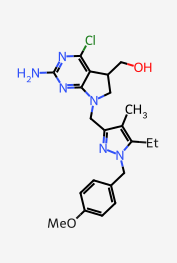 CCc1c(C)c(CN2CC(CO)c3c(Cl)nc(N)nc32)nn1Cc1ccc(OC)cc1